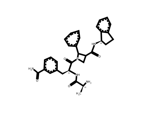 C[C@H](N)C(=O)N[C@@H](Cc1cccc(C(N)=O)c1)C(=O)N1CC(C(=O)N[C@@H]2CCc3ccccc32)C1c1ccccc1